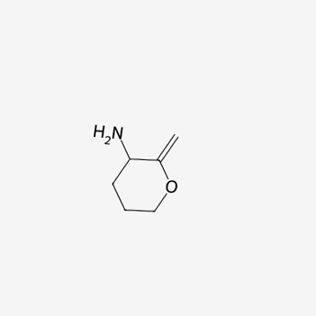 C=C1OCCCC1N